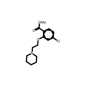 COC(=O)c1ccc(Cl)cc1OCCN1CCCCC1